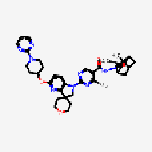 CC12CC3CC1CC2CC3(NC(=O)c1cnc(N2CC3(CCOCC3)c3nc(OC4CCN(c5ncccn5)CC4)ccc32)nc1C(F)(F)F)C(=O)O